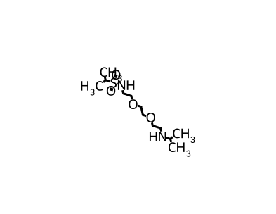 CC(C)NCCOCCOCCNS(=O)(=O)C(C)C